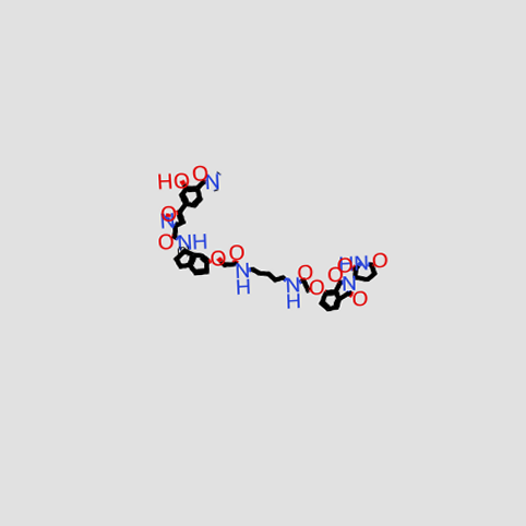 CN(C)C(=O)c1ccc(-c2cc(C(=O)N[C@@H]3CCc4ccc(OCC(=O)NCCCCCNC(=O)COc5cccc6c5C(=O)N(C5CCC(=O)NC5=O)C6=O)cc43)no2)cc1O